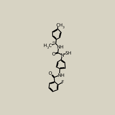 Cc1ccc([C@H](C)NC(=O)N(S)c2ccc(NC(=O)c3ccccc3F)cc2)cc1